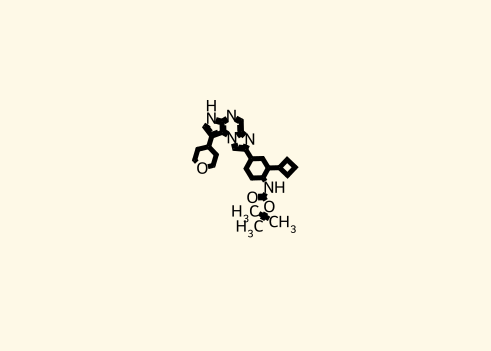 CC(C)(C)OC(=O)NC1CCC(c2cn3c(cnc4[nH]cc(C5CCOCC5)c43)n2)CC1C1CCC1